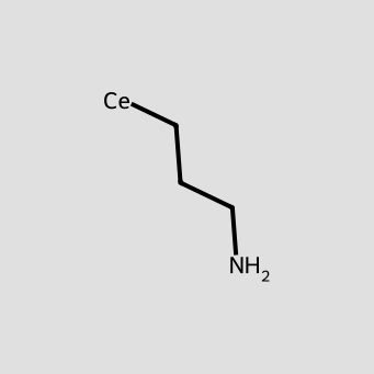 NCC[CH2][Ce]